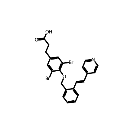 O=C(O)CCc1cc(Br)c(OCc2ccccc2C=Cc2ccncc2)c(Br)c1